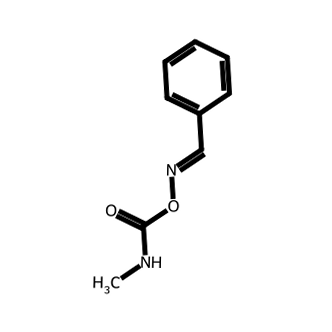 CNC(=O)ON=Cc1ccccc1